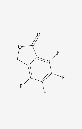 O=C1OCc2c(F)c(F)c(F)c(F)c21